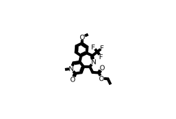 CCOC(=O)CC1N=C(C(F)(F)F)c2cc(OC)ccc2-c2cn(C)c(=O)cc21